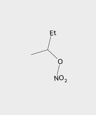 [CH2]CC(C)O[N+](=O)[O-]